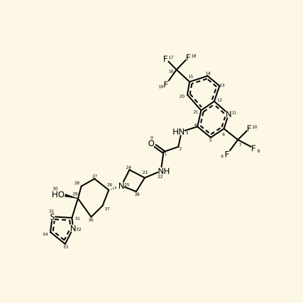 O=C(CNc1cc(C(F)(F)F)nc2ccc(C(F)(F)F)cc12)NC1CN([C@H]2CC[C@@](O)(c3nccs3)CC2)C1